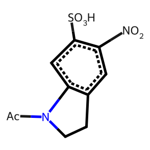 CC(=O)N1CCc2cc([N+](=O)[O-])c(S(=O)(=O)O)cc21